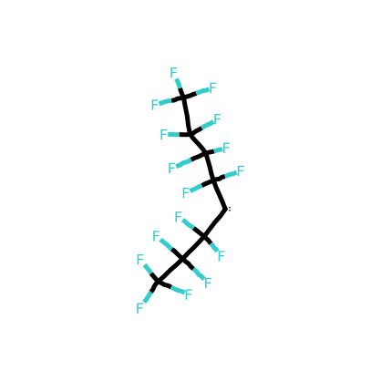 FC(F)(F)C(F)(F)C(F)(F)[C]C(F)(F)C(F)(F)C(F)(F)C(F)(F)F